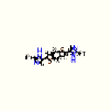 CCc1ncc(-c2cc3cc4sc(-c5cnc(C(C)C)[nH]5)cc4cc3s2)[nH]1